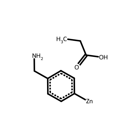 CCC(=O)O.NCc1cc[c]([Zn])cc1